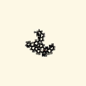 Cc1ccc2ccc3ccc(-c4cccc(C5(c6cccc(-c7ccc8ccc9ccc(C)nc9c8n7)c6)c6cc(-c7ccccn7)ccc6-c6ccc(-c7ccccn7)cc65)c4)nc3c2n1